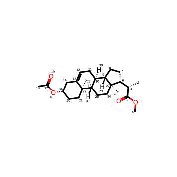 COC(=O)[C@@H](C)[C@H]1CC[C@H]2[C@@H]3CC=C4C[C@@H](OC(C)=O)CC[C@]4(C)[C@H]3CC[C@]12C